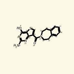 Nc1nc(O)c2scc(C(=O)N3CCc4ccccc4CC3)c2n1